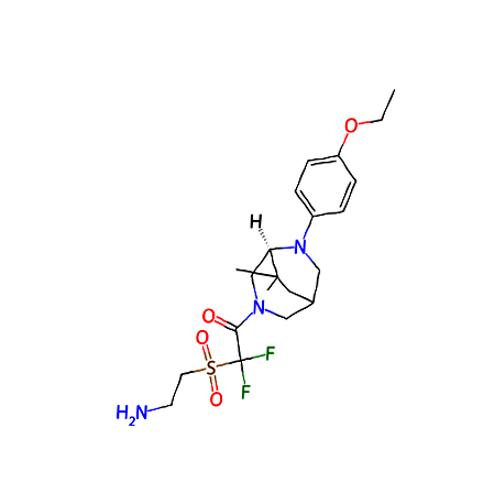 CCOc1ccc(N2CC3CN(C(=O)C(F)(F)S(=O)(=O)CCN)C[C@@H]2C(C)(C)C3)cc1